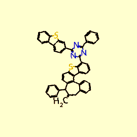 C=C1Cc2ccccc2-c2c(ccc3sc4c(-c5nc(-c6ccccc6)nc(-c6ccc7c(c6)sc6ccccc67)n5)cccc4c23)C1c1ccccc1